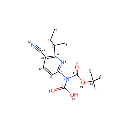 CCC(C)c1nc(N(C(=O)O)C(=O)OC(C)(C)C)ccc1C#N